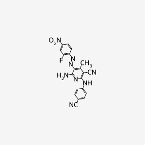 Cc1c(C#N)c(Nc2ccc(C#N)cc2)nc(N)c1N=Nc1ccc([N+](=O)[O-])cc1F